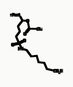 CCCCCC(CCCS(=O)(=O)NCCCCCCC(=O)O)OC(=O)C(C)(C)C